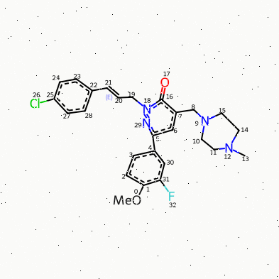 COc1ccc(-c2cc(CN3CCN(C)CC3)c(=O)n(C/C=C/c3ccc(Cl)cc3)n2)cc1F